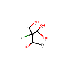 CCC(O)C(F)(CO)C(O)O